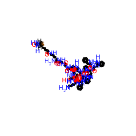 C[C@@H](O)[C@H](NC(=O)[C@H](CCCCN)NC(=O)[C@H](Cc1ccccc1)NC(=O)[C@H](Cc1ccccc1)NC(=O)[C@H](Cc1c[nH]c2ccccc12)NC(=O)[C@@H]1CCCN1C(=O)[C@H](Cc1c[nH]cn1)NC(=O)[C@H](Cc1c[nH]c2ccccc12)NC(=O)[C@@H](N)Cc1ccccc1)C(=O)N[C@@H](CCCCN)C(=O)NCC(=O)NCC(=O)NCC(=O)N[C@@H](CCCCNC(=O)CCCC[C@@H]1SC[C@@H]2NC(=O)N[C@@H]21)C(N)=O